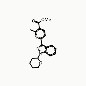 COC(=O)c1ccc(-c2nn(C3CCCCO3)c3ccccc23)nc1C